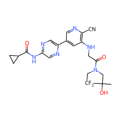 CC(C)(O)CN(CC(F)(F)F)C(=O)CNc1cc(-c2cnc(NC(=O)C3CC3)cn2)cnc1C#N